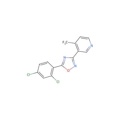 FC(F)(F)c1ccncc1-c1noc(-c2ccc(Cl)cc2Cl)n1